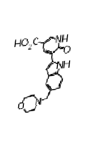 O=C(O)c1c[nH]c(=O)c(-c2cc3cc(CN4CCOCC4)ccc3[nH]2)c1